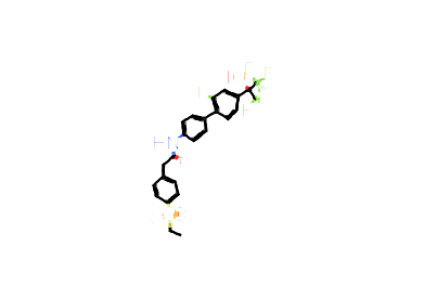 CCS(=O)(=O)c1ccc(CC(=O)Nc2ccc(-c3ccc(C(O)(C(F)(F)F)C(F)(F)F)cc3F)cc2)cc1